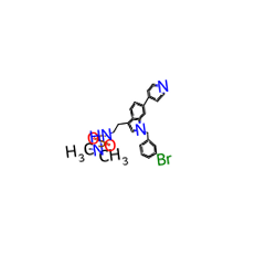 CN(C)S(=O)(=O)NCCc1cn(Cc2cccc(Br)c2)c2cc(-c3ccncc3)ccc12